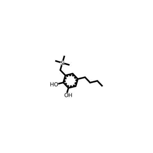 CCCCc1cc(O)c(O)c(C[Si](C)(C)C)c1